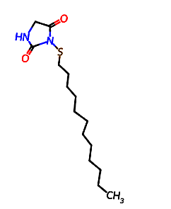 CCCCCCCCCCCCSN1C(=O)CNC1=O